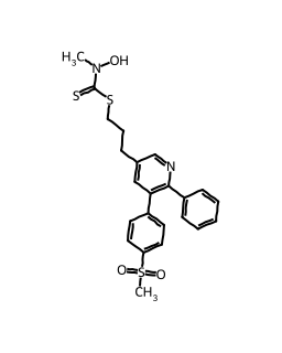 CN(O)C(=S)SCCCc1cnc(-c2ccccc2)c(-c2ccc(S(C)(=O)=O)cc2)c1